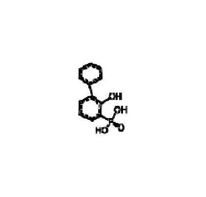 O=P(O)(O)c1cccc(-c2ccccc2)c1O